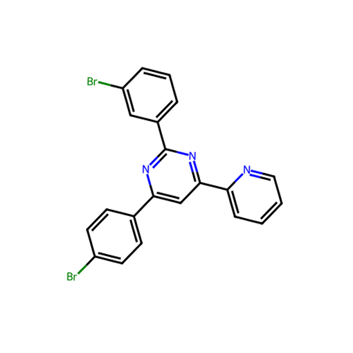 Brc1ccc(-c2cc(-c3ccccn3)nc(-c3cccc(Br)c3)n2)cc1